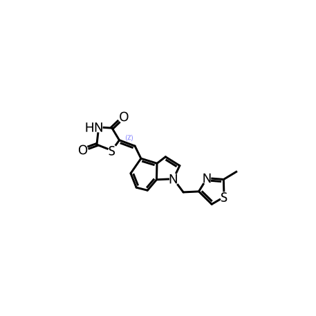 Cc1nc(Cn2ccc3c(/C=C4\SC(=O)NC4=O)cccc32)cs1